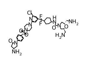 NC[C@H]1CN(C(=O)NC2CCC(C(F)(F)c3cc(Cl)nc(N4CCN(S(=O)(=O)c5ccc(N6C[C@H](N)CC6=O)cc5)CC4)c3)CC2)C[C@H](CN)O1